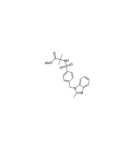 COC(=O)C(C)(C)NS(=O)(=O)c1ccc(Cn2c(C)nc3ccccc32)cc1